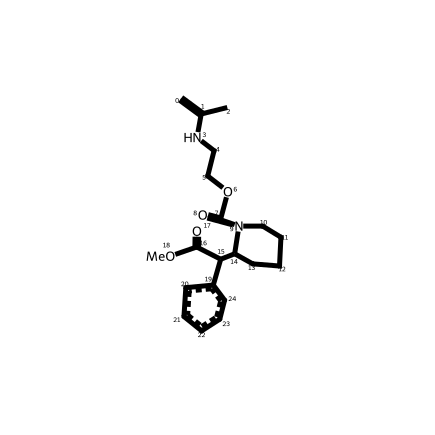 C=C(C)NCCOC(=O)N1CCCCC1C(C(=O)OC)c1ccccc1